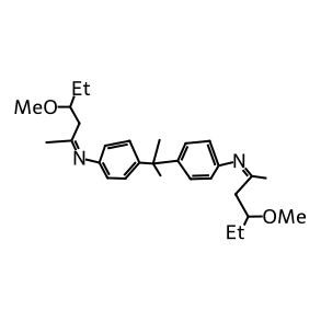 CCC(CC(C)=Nc1ccc(C(C)(C)c2ccc(N=C(C)CC(CC)OC)cc2)cc1)OC